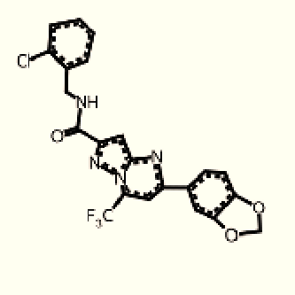 O=C(NCc1ccccc1Cl)c1cc2nc(-c3ccc4c(c3)OCO4)cc(C(F)(F)F)n2n1